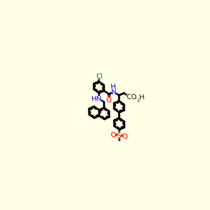 CS(=O)(=O)c1ccc(-c2ccc(C(CC(=O)O)NC(=O)c3cc(Cl)ccc3NCc3cccc4ccccc34)cc2)cc1